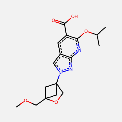 COCC12CC(n3cc4cc(C(=O)O)c(OC(C)C)nc4n3)(CO1)C2